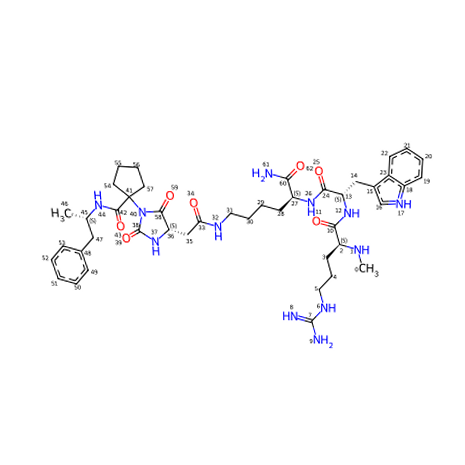 CN[C@@H](CCCNC(=N)N)C(=O)N[C@@H](Cc1c[nH]c2ccccc12)C(=O)N[C@@H](CCCCNC(=O)C[C@@H]1NC(=O)N(C2(C(=O)N[C@@H](C)Cc3ccccc3)CCCC2)C1=O)C(N)=O